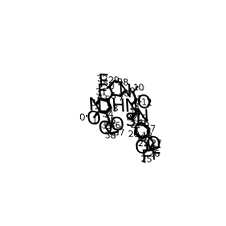 COc1ncc(C2CN([C@@H](C)C(=O)Nc3nc4cc5c(cc4s3)OC(F)(F)O5)CCC2(F)F)cc1C1OCCO1